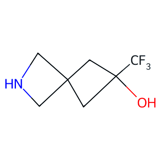 OC1(C(F)(F)F)CC2(CNC2)C1